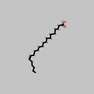 CCCCC/C=C\CCCCCCCCCCCCCCC(=O)O